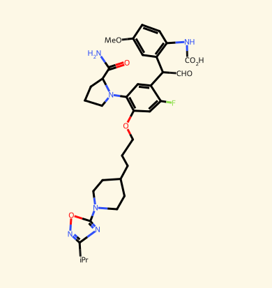 COc1ccc(NC(=O)O)c(C(C=O)c2cc(N3CCCC3C(N)=O)c(OCCCC3CCN(c4nc(C(C)C)no4)CC3)cc2F)c1